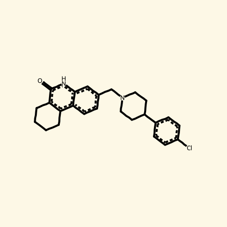 O=c1[nH]c2cc(CN3CCC(c4ccc(Cl)cc4)CC3)ccc2c2c1CCCC2